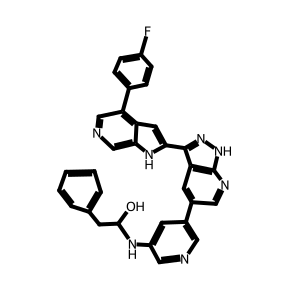 OC(Cc1ccccc1)Nc1cncc(-c2cnc3[nH]nc(-c4cc5c(-c6ccc(F)cc6)cncc5[nH]4)c3c2)c1